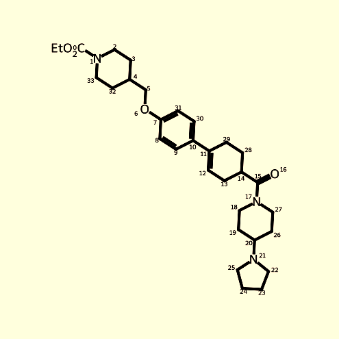 CCOC(=O)N1CCC(COc2ccc(C3=CCC(C(=O)N4CCC(N5CCCC5)CC4)CC3)cc2)CC1